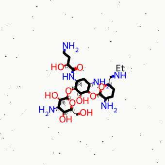 CCNC[C@@H]1CC[C@@H](N)[C@@H](OC2[C@@H](N)C[C@@H](NC(=O)[C@@H](O)CCN)[C@H](O[C@H]3O[C@H](CO)[C@@H](O)[C@H](N)[C@H]3O)[C@H]2O)O1